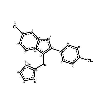 Clc1ccc(-c2nc3cc(Cl)ccn3c2Cc2ncc[nH]2)cc1